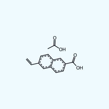 C=Cc1ccc2cc(C(=O)O)ccc2c1.CC(=O)O